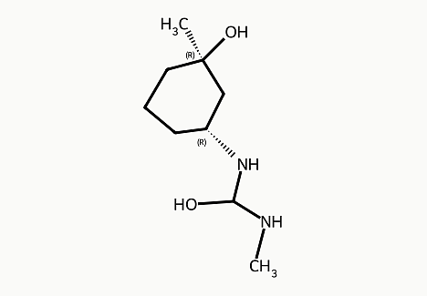 CNC(O)N[C@@H]1CCC[C@@](C)(O)C1